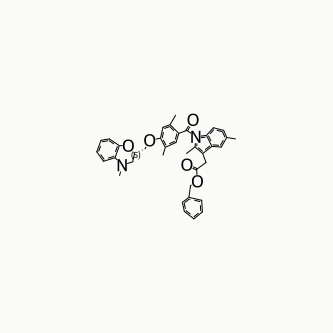 Cc1ccc2c(c1)c(CC(=O)OCc1ccccc1)c(C)n2C(=O)c1cc(C)c(OC[C@@H]2CN(C)c3ccccc3O2)cc1C